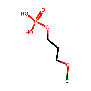 O=P(O)(O)OCCCOCl